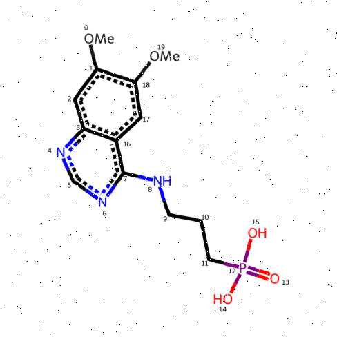 COc1cc2ncnc(NCCCP(=O)(O)O)c2cc1OC